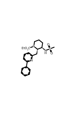 CCOC(=O)N1CCC[C@@H](NS(C)(=O)=O)[C@H]1Cc1cccc(-c2ccccc2)n1